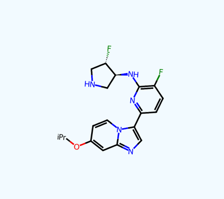 CC(C)Oc1ccn2c(-c3ccc(F)c(N[C@H]4CNC[C@@H]4F)n3)cnc2c1